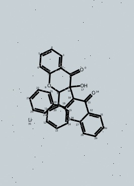 O=C1c2ccccc2OC(c2ccccc2)C1(O)c1c(-c2ccccc2)oc2ccccc2c1=O.[Li]